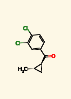 C[C@H]1C[C@@H]1C(=O)c1ccc(Cl)c(Cl)c1